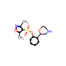 Cc1noc(C)c1S(=O)(=O)Oc1ccccc1C1CNCCO1